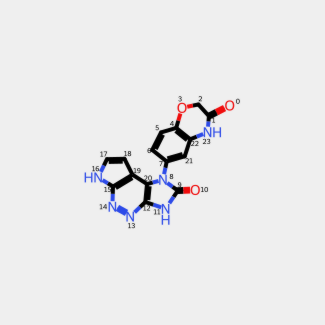 O=C1COc2ccc(-n3c(=O)[nH]c4nnc5[nH]ccc5c43)cc2N1